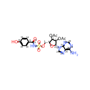 CC(=O)O[C@@H]1[C@H](OC(C)=O)[C@@H](COS(=O)(=O)NC(=O)c2ccc(O)cc2)O[C@H]1n1cnc2c(N)ncnc21